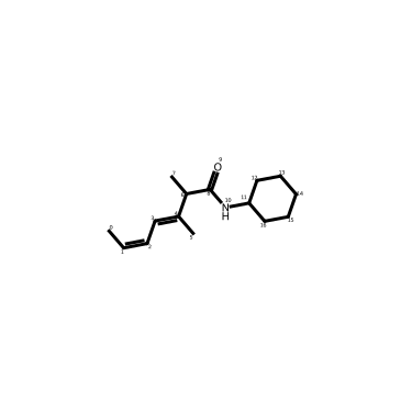 C/C=C\C=C(/C)C(C)C(=O)NC1CCCCC1